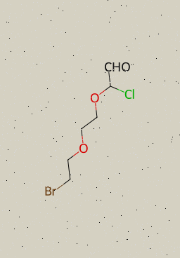 O=CC(Cl)OCCOCCBr